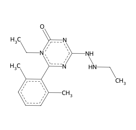 CCNNc1nc(-c2c(C)cccc2C)n(CC)c(=O)n1